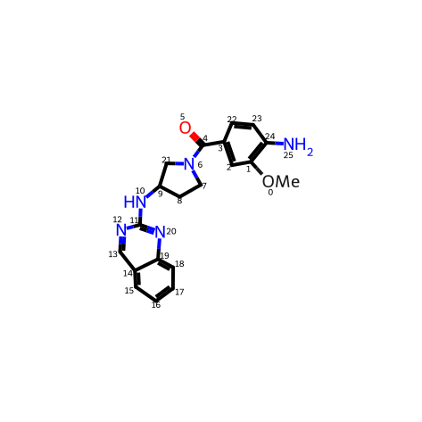 COc1cc(C(=O)N2CCC(Nc3ncc4ccccc4n3)C2)ccc1N